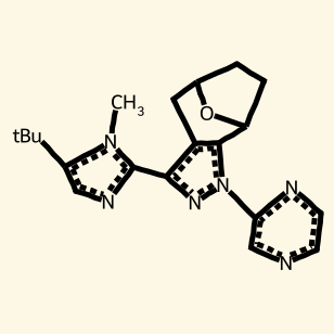 Cn1c(C(C)(C)C)cnc1-c1nn(-c2cnccn2)c2c1CC1CCC2O1